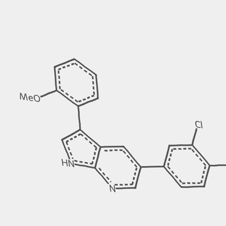 COc1ccccc1-c1c[nH]c2ncc(-c3ccc(O)c(Cl)c3)cc12